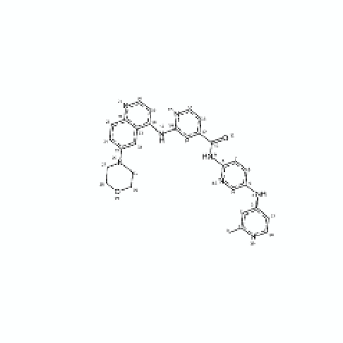 Cc1cc(Nc2ccc(NC(=O)c3ccnc(Nc4ccnc5ccc(N6CCOCC6)cc45)c3)nc2)ccn1